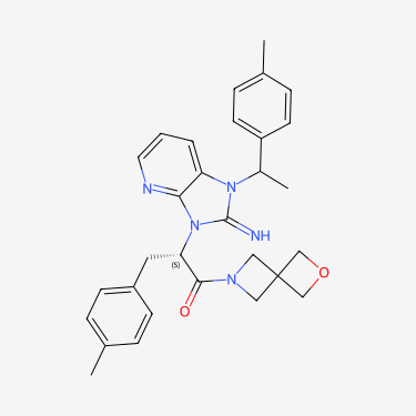 Cc1ccc(C[C@@H](C(=O)N2CC3(COC3)C2)n2c(=N)n(C(C)c3ccc(C)cc3)c3cccnc32)cc1